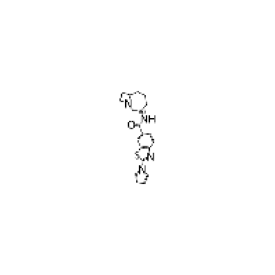 O=C(N[C@@H]1CCCC2CCN2C1)c1ccc2nc(-n3cccc3)sc2c1